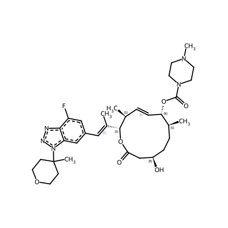 C/C(=C\c1cc(F)c2nnn(C3(C)CCOCC3)c2c1)[C@H]1OC(=O)C[C@H](O)CC[C@H](C)[C@@H](OC(=O)N2CCN(C)CC2)/C=C/[C@@H]1C